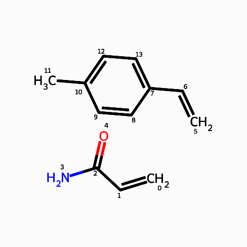 C=CC(N)=O.C=Cc1ccc(C)cc1